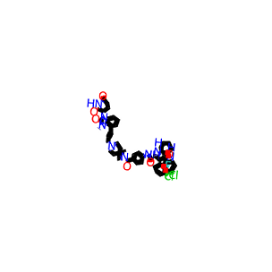 Cn1c(=O)n(C2CCC(=O)NC2=O)c2cccc(C#CCN3CCC4(CC3)CN(C(=O)c3ccc(NC(=O)[C@@H]5NC6(CCCCC6)[C@@]6(C(=O)Nc7cc(Cl)ccc76)[C@H]5c5cccc(Cl)c5F)cc3)C4)c21